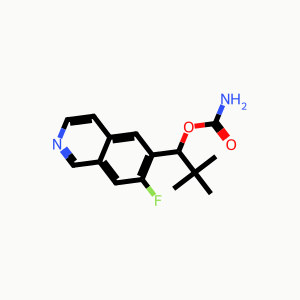 CC(C)(C)C(OC(N)=O)c1cc2ccncc2cc1F